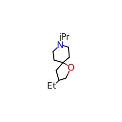 CCC1COC2(CCN(C(C)C)CC2)C1